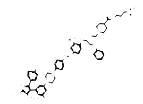 CSc1c(-c2cc(F)cc(N3CCN(c4ccc(NSc5ccc(N[C@H](CCN6CCC(C(=O)OCCCP(O)O)CC6)CSc6ccccc6)c(S(=O)(=O)C(F)(F)F)c5)cc4)CC3)c2)c(-c2ccc(Cl)cc2)n(C(C)C)c1C